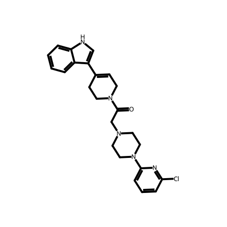 O=C(CN1CCN(c2cccc(Cl)n2)CC1)N1CC=C(c2c[nH]c3ccccc23)CC1